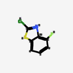 Fc1cccc2sc(Cl)nc12